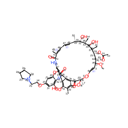 CO[C@H]1/C=C/O[C@@]2(C)Oc3c(C)c(O)c4c(=O)c(c5oc6cc(OCCN7CCCC7)cc(O)c6nc-5c4c3C2=O)NC(=O)/C(C)=C\C=C\[C@H](C)[C@H](O)[C@@H](C)[C@@H](O)[C@@H](C)[C@H](OC(C)=O)[C@@H]1C